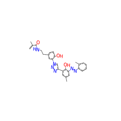 C=C(C)C(=O)NCCc1ccc(O)c(-n2cc(-c3cc(C)cc(N=Nc4ccccc4C)c3O)nn2)c1